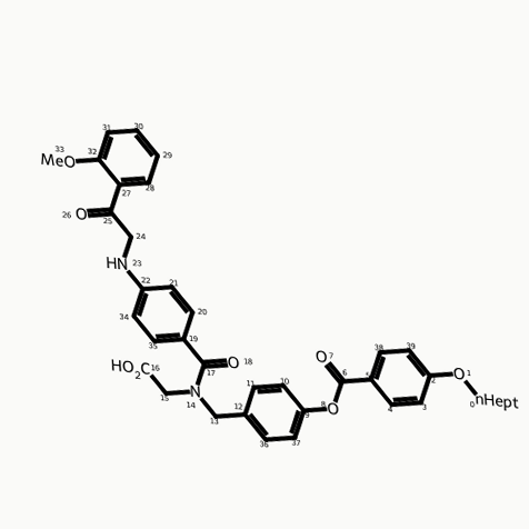 CCCCCCCOc1ccc(C(=O)Oc2ccc(CN(CC(=O)O)C(=O)c3ccc(NCC(=O)c4ccccc4OC)cc3)cc2)cc1